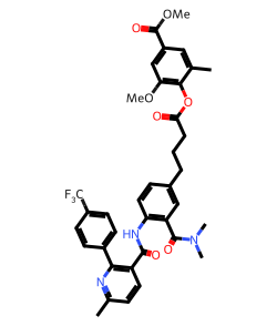 COC(=O)c1cc(C)c(OC(=O)CCCc2ccc(NC(=O)c3ccc(C)nc3-c3ccc(C(F)(F)F)cc3)c(C(=O)N(C)C)c2)c(OC)c1